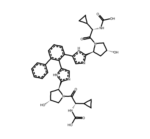 O=C(O)N[C@H](C(=O)N1C[C@H](O)C[C@H]1c1ncc(-c2cccc(-c3ccccc3)c2-c2cnc([C@@H]3C[C@@H](O)CN3C(=O)[C@@H](NC(=O)O)C3CC3)[nH]2)[nH]1)C1CC1